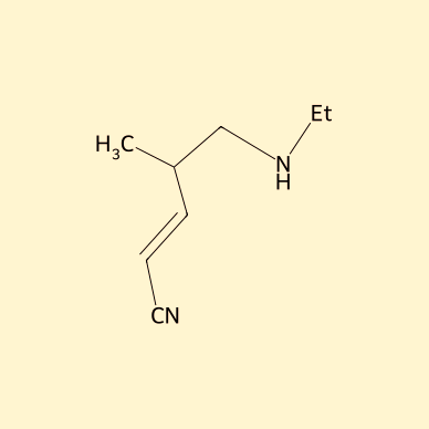 CCNCC(C)C=CC#N